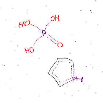 O=P(O)(O)O.c1cc[pH]c1